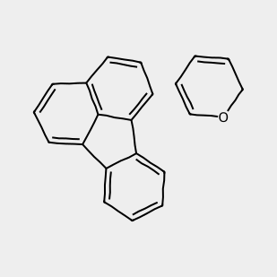 C1=CCOC=C1.c1ccc2c(c1)-c1cccc3cccc-2c13